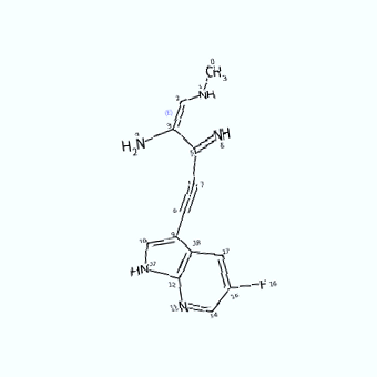 CN/C=C(/N)C(=N)C#Cc1c[nH]c2ncc(F)cc12